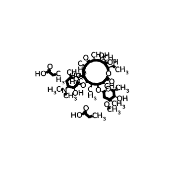 CCC(=O)O.CCC(=O)O.CC[C@H]1OC(=O)[C@H](C)[C@@H](O[C@H]2C[C@@](C)(OC)[C@@H](O)[C@H](C)O2)[C@@H](C)[C@@H](O[C@@H]2O[C@H](C)C[C@H](N(C)C)[C@H]2O)[C@](C)(O)C[C@@H](C)C(=O)[C@H](C)[C@H](O)[C@]1(C)O